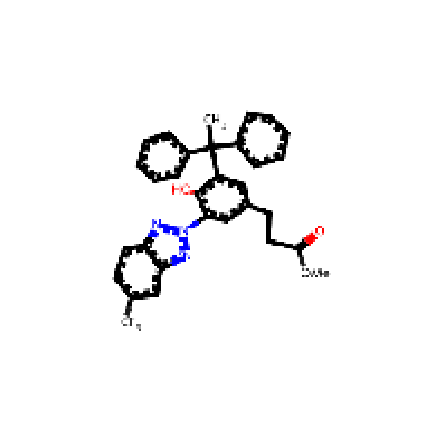 COC(=O)CCc1cc(-n2nc3ccc(C(F)(F)F)cc3n2)c(O)c(C(C)(c2ccccc2)c2ccccc2)c1